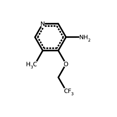 Cc1cncc(N)c1OCC(F)(F)F